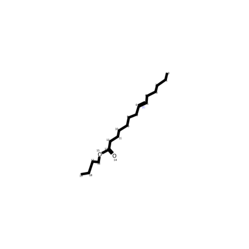 CCCCC/C=C/CCCCCCC(=O)OCCCC